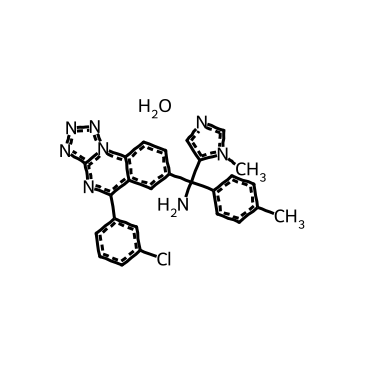 Cc1ccc(C(N)(c2ccc3c(c2)c(-c2cccc(Cl)c2)nc2nnnn23)c2cncn2C)cc1.O